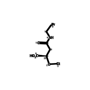 CCO[C@H](CC(=O)NCC(C)C)C(=O)O